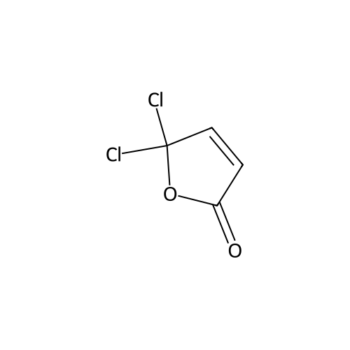 O=C1C=CC(Cl)(Cl)O1